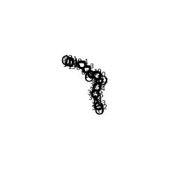 c1cc2cc3c(cc2cc1N1CCOCC1)oc1c3ccc2oc3cc4cc(N5CCOCC5)ccc4cc3c21